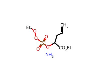 C=CCC(OS(=O)(=O)OOCC)C(=O)OCC.N